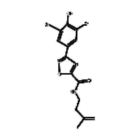 C=C(C)CCNC(=O)c1nc(-c2cc(Br)c(O)c(Br)c2)no1